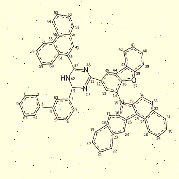 c1ccc(-c2cccc(C3N=C(c4cc(-n5c6cc7ccccc7cc6c6c7ccccc7ccc65)c5oc6ccccc6c5c4)N=C(c4cc5ccccc5c5ccccc45)N3)c2)cc1